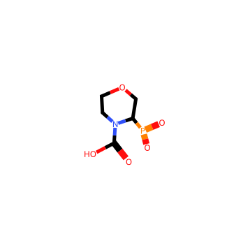 O=C(O)N1CCOCC1P(=O)=O